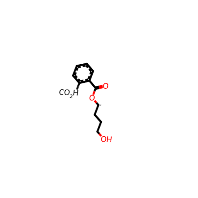 O=C(O)c1ccccc1C(=O)O[CH]CCCO